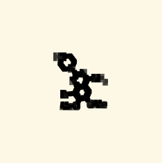 COc1cc2c(N)nc(N3CCNCC3)nc2c(Br)c1OC